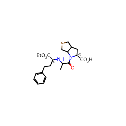 CCOC(=O)[C@H](CCc1ccccc1)NC(C)C(=O)N1C2CSCC2C[C@H]1C(=O)O